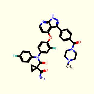 CN1CCN(C(=O)c2ccc(-c3n[nH]c4nccc(Oc5ccc(N(C(=O)C6(C(N)=O)CC6)c6ccc(F)cc6)cc5F)c34)cc2)CC1